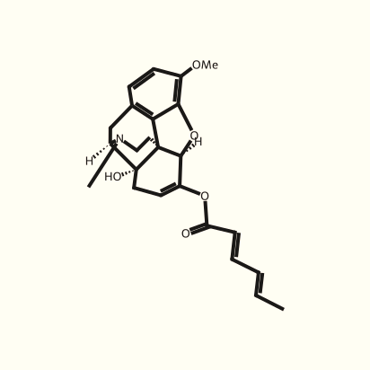 C/C=C/C=C/C(=O)OC1=CC[C@@]2(O)[C@H]3Cc4ccc(OC)c5c4[C@@]2(CCN3C)[C@H]1O5